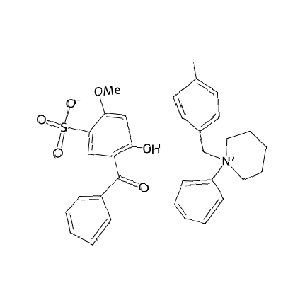 COc1cc(O)c(C(=O)c2ccccc2)cc1S(=O)(=O)[O-].Cc1ccc(C[N+]2(c3ccccc3)CCCCC2)cc1